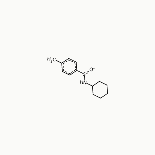 Cc1ccc([S+]([O-])NC2CCCCC2)cc1